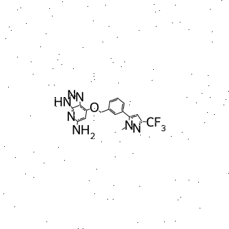 Cn1nc(C(F)(F)F)cc1-c1cccc(COc2cc(N)nc3[nH]nnc23)c1